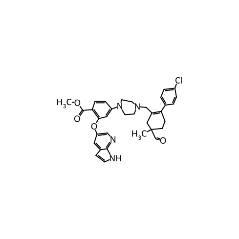 COC(=O)c1ccc(N2CCN(CC3=C(c4ccc(Cl)cc4)CCC(C)(C=O)C3)CC2)cc1Oc1cnc2[nH]ccc2c1